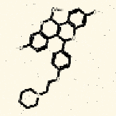 COC1Oc2cc(O)ccc2C2=C1c1ccc(O)cc1OC2c1ccc(OCCN2CCCCC2)cc1